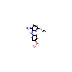 COc1ccc(Nc2nc(OC)ccc2N)cc1